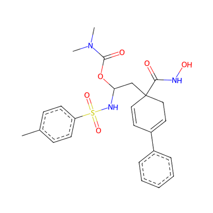 Cc1ccc(S(=O)(=O)NC(CC2(C(=O)NO)C=CC(c3ccccc3)=CC2)OC(=O)N(C)C)cc1